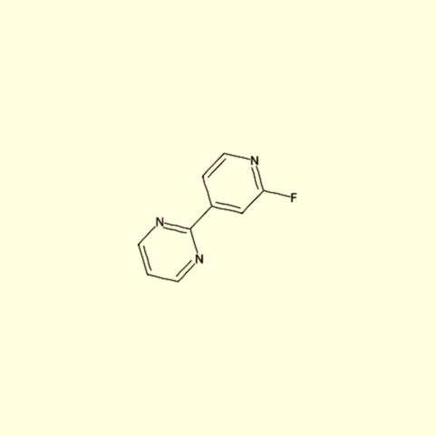 Fc1cc(-c2ncccn2)ccn1